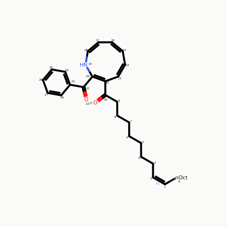 CCCCCCCC/C=C\CCCCCCCC(=O)c1cccccc[nH]c1C(=O)c1ccccc1